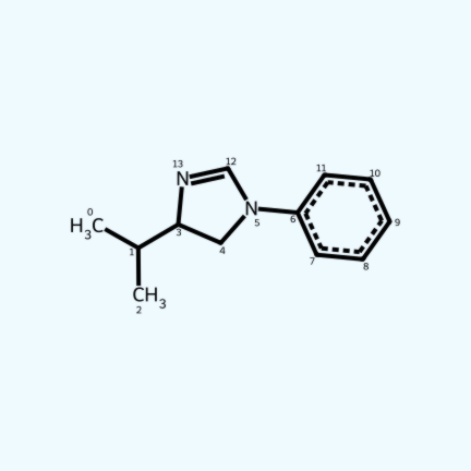 CC(C)C1CN(c2ccccc2)C=N1